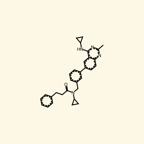 Cc1nc(NC2CC2)c2cc(-c3cccc(CN(C(=O)CCc4ccccc4)C4CC4)c3)ccc2n1